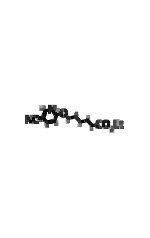 CCOC(=O)CCCCCOc1ccc(C#N)cn1